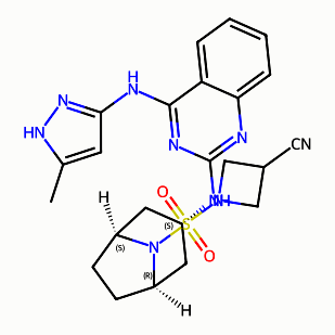 Cc1cc(Nc2nc(N[C@@H]3C[C@H]4CC[C@@H](C3)N4S(=O)(=O)N3CC(C#N)C3)nc3ccccc23)n[nH]1